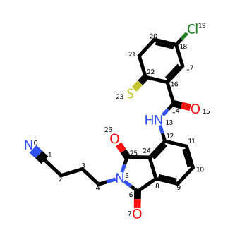 N#CCCCN1C(=O)c2cccc(NC(=O)C3=CC(Cl)=CCC3=S)c2C1=O